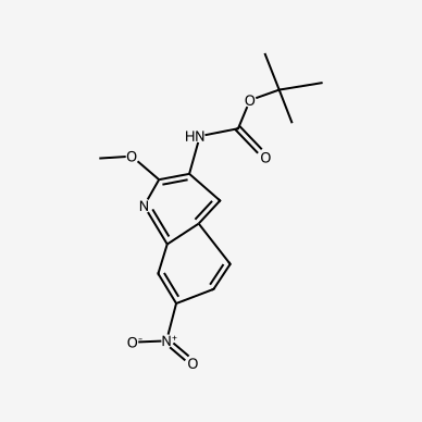 COc1nc2cc([N+](=O)[O-])ccc2cc1NC(=O)OC(C)(C)C